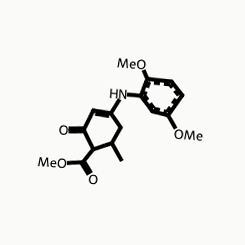 COC(=O)C1C(=O)C=C(Nc2cc(OC)ccc2OC)CC1C